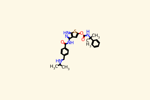 CC(C)NCc1ccc(C(=O)Nc2n[nH]c3sc(OC(=O)NC(C)(C)c4ccccc4)cc23)cc1